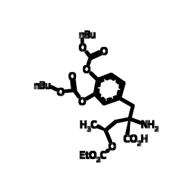 CCCCOC(=O)Oc1ccc(C[C@](N)(C[C@H](C)OC(=O)OCC)C(=O)O)cc1OC(=O)OCCCC